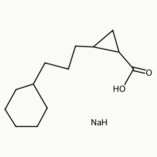 O=C(O)C1CC1CCCC1CCCCC1.[NaH]